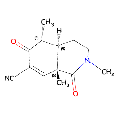 C[C@H]1C(=O)C(C#N)=C[C@@]2(C)C(=O)N(C)CC[C@H]12